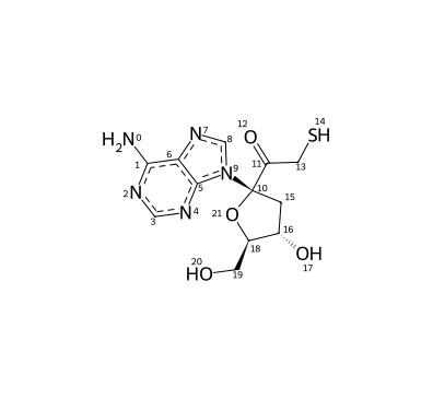 Nc1ncnc2c1ncn2[C@@]1(C(=O)CS)C[C@H](O)[C@@H](CO)O1